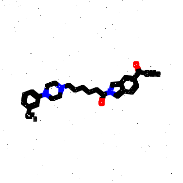 COC(=O)c1ccc2cn(C(=O)CCCCCN3CCN(c4cccc(C(F)(F)F)c4)CC3)cc2c1